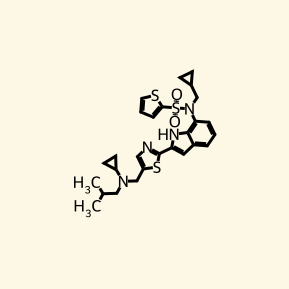 CC(C)CN(Cc1cnc(-c2cc3cccc(N(CC4CC4)S(=O)(=O)c4cccs4)c3[nH]2)s1)C1CC1